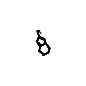 FC(F)(F)c1cn2c(n1)C[N]CC2